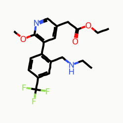 CCNCc1cc(C(F)(F)F)ccc1-c1cc(CC(=O)OCC)cnc1OC